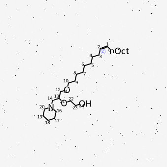 CCCCCCCC/C=C\CCCCCCCCOCC(CN1CCCCC1)OCCO